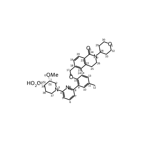 CO[C@@H]1CN(c2cccc(-c3cc(C)ccc3OCc3ccc4c(c3C)CCN(C3CCOCC3)C4=O)n2)CC[C@@H]1C(=O)O